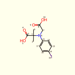 CC(C)(C(=O)O)N(CC(=O)O)c1ccc(I)cc1